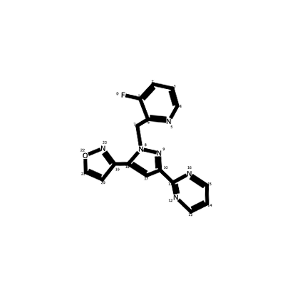 Fc1cccnc1Cn1nc(-c2ncccn2)cc1-c1ccon1